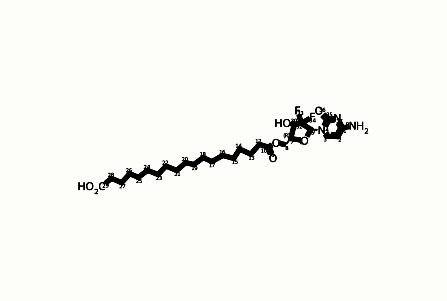 Nc1ccn([C@@H]2O[C@H](COC(=O)CCCCCCCCCCCCCCCCCC(=O)O)C(O)C2(F)F)c(=O)n1